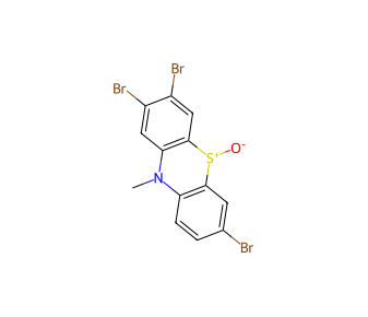 CN1c2ccc(Br)cc2[S+]([O-])c2cc(Br)c(Br)cc21